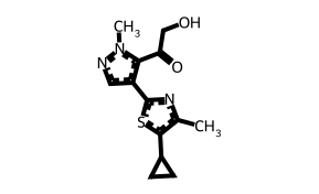 Cc1nc(-c2cnn(C)c2C(=O)CO)sc1C1CC1